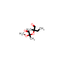 CCC(C)(C=O)OC(C)(C=O)OC